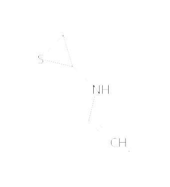 C=CNC1CS1